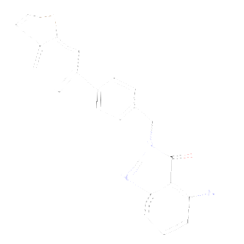 Nc1cccc2ncn(Cc3ccc(-c4ccc5ccsc5c4)cc3)c(=O)c12